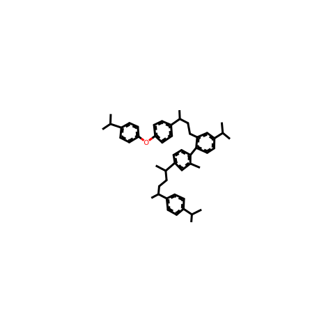 Cc1cc(C(C)CCC(C)c2ccc(C(C)C)cc2)ccc1-c1ccc(C(C)C)cc1CCC(C)c1ccc(Oc2ccc(C(C)C)cc2)cc1